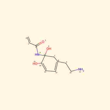 C=CC(=O)NC1(O)CC(CCN)=CC=C1O